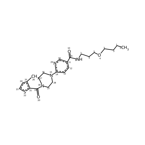 CCCCOCCCNC(=O)c1ccc(N2CCN(C(=O)c3sccc3C)CC2)nc1